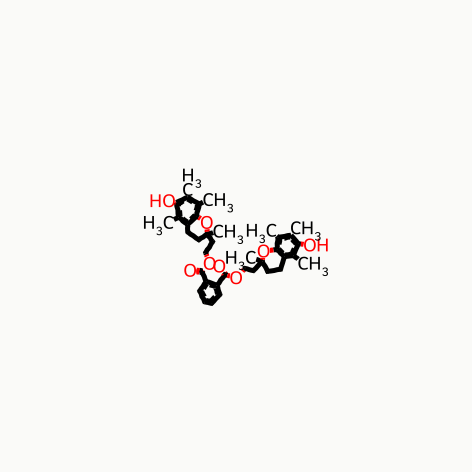 Cc1c(C)c2c(c(C)c1O)CCC(C)(CCOC(=O)c1ccccc1C(=O)OCCC1(C)CCc3c(C)c(O)c(C)c(C)c3O1)O2